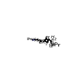 C=C(Cc1ccc(CNC(=C)CCCC/C=C/C(C)C)cc1CC)CN(CC)CCC